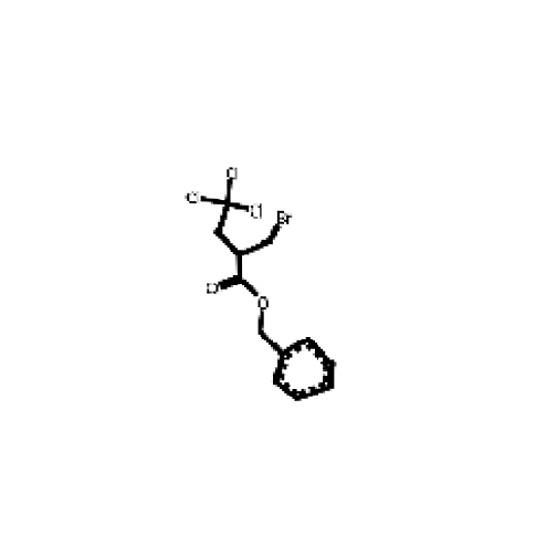 O=C(OCc1ccccc1)C(CBr)CC(Cl)(Cl)Cl